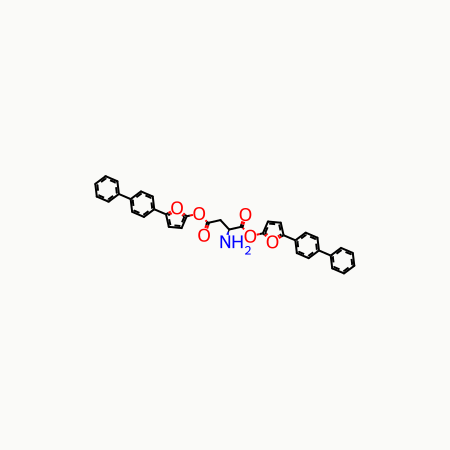 N[C@@H](CC(=O)Oc1ccc(-c2ccc(-c3ccccc3)cc2)o1)C(=O)Oc1ccc(-c2ccc(-c3ccccc3)cc2)o1